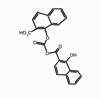 O=C(OC(=O)c1ccc2ccccc2c1O)Oc1c(C(=O)O)ccc2ccccc12